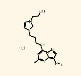 Cc1cc(NCCCN2C=CN(CCO)C2)n2ncc(N)c2n1.Cl